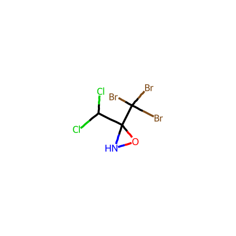 ClC(Cl)C1(C(Br)(Br)Br)NO1